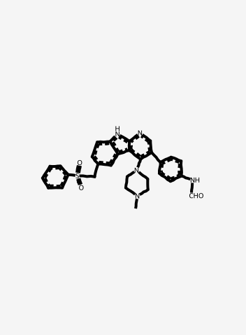 CN1CCN(c2c(-c3ccc(NC=O)cc3)cnc3[nH]c4ccc(CS(=O)(=O)c5ccccc5)cc4c23)CC1